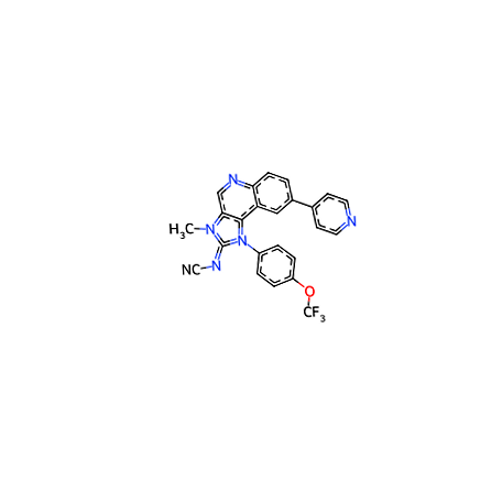 Cn1c(=NC#N)n(-c2ccc(OC(F)(F)F)cc2)c2c3cc(-c4ccncc4)ccc3ncc21